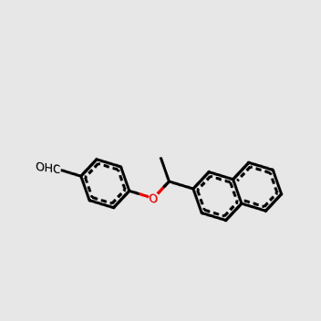 CC(Oc1ccc(C=O)cc1)c1ccc2ccccc2c1